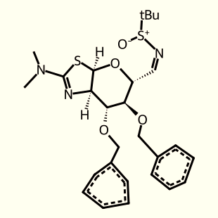 CN(C)C1=N[C@@H]2[C@@H](OCc3ccccc3)[C@H](OCc3ccccc3)[C@@H](/C=N\[S+]([O-])C(C)(C)C)O[C@@H]2S1